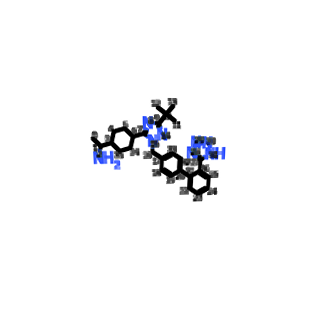 CC(N)C1CCC(c2nc(C(C)(C)C)nn2Cc2ccc(-c3ccccc3-c3nnn[nH]3)cc2)CC1